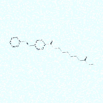 COC(=O)CCCCCCNC(=O)c1ccc(/N=N/c2ccccc2)cc1